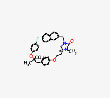 CN1C(=O)N(Cc2ccc3ccccc3c2)C[C@@H]1CCOc1ccc(C[C@](C)(Oc2ccc(F)cc2)C(=O)O)cc1